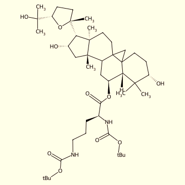 CC(C)(C)OC(=O)NCCC[C@H](NC(=O)OC(C)(C)C)C(=O)O[C@H]1CC2C3(CC[C@]4(C)[C@@H]([C@@]5(C)CC[C@@H](C(C)(C)O)O5)[C@@H](O)C[C@@]24C)CC32CC[C@H](O)C(C)(C)[C@H]12